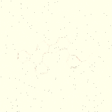 OB(O)c1cccc(-c2cccc3c2sc2c(-c4ccccc4-c4ccccc4)cccc23)c1